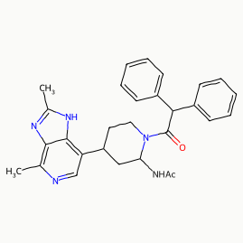 CC(=O)NC1CC(c2cnc(C)c3nc(C)[nH]c23)CCN1C(=O)C(c1ccccc1)c1ccccc1